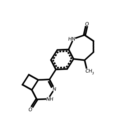 CC1CCC(=O)Nc2ccc(C3=NNC(=O)C4CCC34)cc21